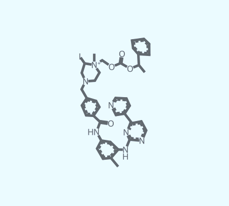 Cc1ccc(NC(=O)c2ccc(CN3CC[N+](C)(COC(=O)OC(C)c4ccccc4)C(I)C3)cc2)cc1Nc1nccc(-c2cccnc2)n1